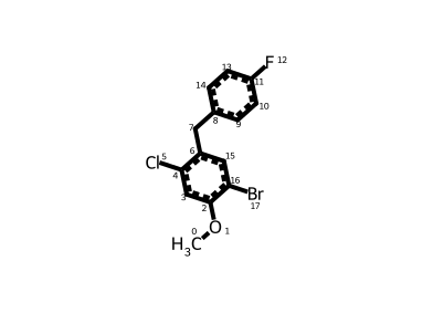 COc1cc(Cl)c(Cc2ccc(F)cc2)cc1Br